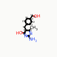 Cc1nc(N)nc(O)c1Cc1ccc(CO)cc1